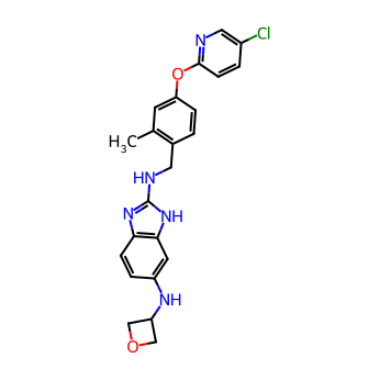 Cc1cc(Oc2ccc(Cl)cn2)ccc1CNc1nc2ccc(NC3COC3)cc2[nH]1